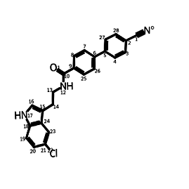 N#Cc1ccc(-c2ccc(C(=O)NCCc3c[nH]c4ccc(Cl)cc34)cc2)cc1